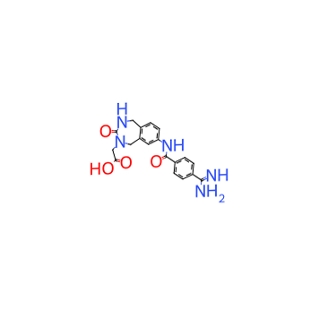 N=C(N)c1ccc(C(=O)Nc2ccc3c(c2)CN(CC(=O)O)C(=O)NC3)cc1